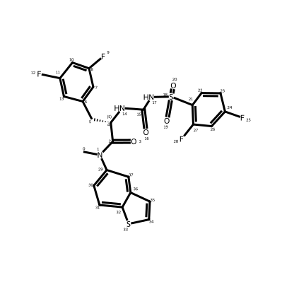 CN(C(=O)[C@H](Cc1cc(F)cc(F)c1)NC(=O)NS(=O)(=O)c1ccc(F)cc1F)c1ccc2sccc2c1